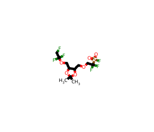 CC1(C)OC(COCC(F)(F)S(=O)(=O)F)C(COC(F)(F)CF)O1